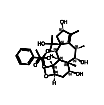 CC(=O)O[C@@]12CO[C@@H]1C[C@H](O)[C@]1(C)[C@@H]2[C@H](OC(=O)c2ccccc2)[C@]2(C(C)(C)O)C[C@H](O)C(C)=C2[C@H](C)[C@@H]1O